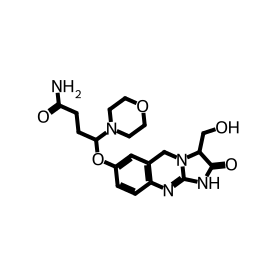 NC(=O)CCC(Oc1ccc2c(c1)CN1C(=N2)NC(=O)C1CO)N1CCOCC1